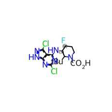 CC(C)(C)C1[C@H](Nc2nc(Cl)nc3[nH]nc(Cl)c23)[C@H](F)CCN1C(=O)O